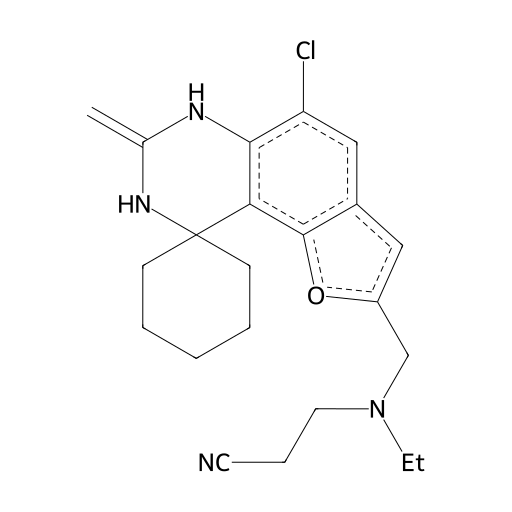 C=C1Nc2c(Cl)cc3cc(CN(CC)CCC#N)oc3c2C2(CCCCC2)N1